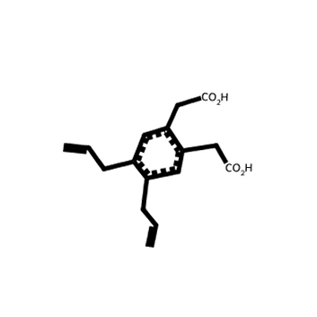 C=CCc1cc(CC(=O)O)c(CC(=O)O)cc1CC=C